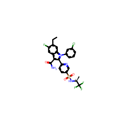 CCc1cc2c(cc1F)c(C(N)=O)c(-c1ccc(S(=O)(=O)N[C@@H](C)C(F)(F)F)cn1)n2-c1cccc(Cl)c1